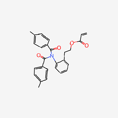 C=CC(=O)OCCc1ccccc1N(C(=O)c1ccc(C)cc1)C(=O)c1ccc(C)cc1